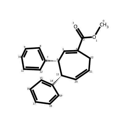 COC(=O)C1=C[C@@H](c2ccccc2)[C@@H](c2ccccc2)C=CC1